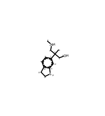 CNCC(C)(CO)c1ccc2c(c1)SCC2